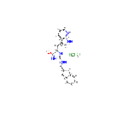 Cl.Cl.O=C1NC(NCC2Cc3ccccc3C2)=N/C1=C\c1c[nH]c2ncccc12